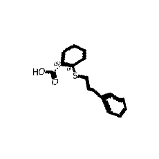 O=C(O)[C@@H]1CCCC[C@H]1SCCc1ccccc1